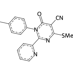 CSc1nc(-c2ccccn2)n(-c2ccc(C)cc2)c(=O)c1C#N